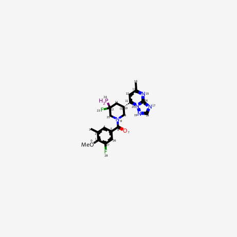 COc1c(C)cc(C(=O)N2C[C@@H](c3cc(C)nc4ncnn34)CC(F)(P)C2)cc1F